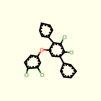 Clc1ccc(Oc2cc(-c3ccccc3)c(Cl)c(Cl)c2-c2ccccc2)cc1Cl